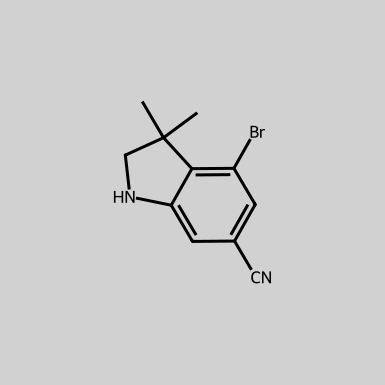 CC1(C)CNc2cc(C#N)cc(Br)c21